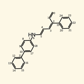 C=C/C(=C\C=C\Nc1ccc(-c2ccccc2)cc1)c1ccccc1